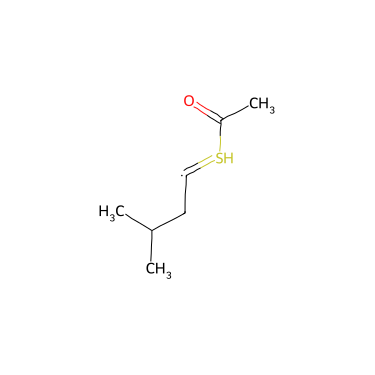 CC(=O)[SH]=[C]CC(C)C